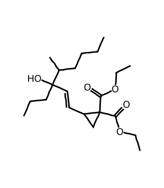 CCCCC(C)C(O)(/C=C/C1CC1(C(=O)OCC)C(=O)OCC)CCC